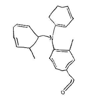 Cc1cc(C=O)ccc1N(C1=CC=CCC1)C1C=CC=CC1C